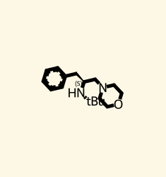 CC(C)(C)N[C@@H](Cc1ccccc1)CN1CCOCC1